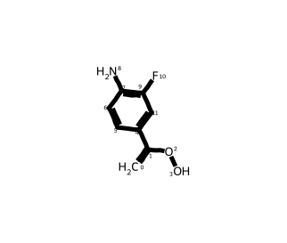 C=C(OO)c1ccc(N)c(F)c1